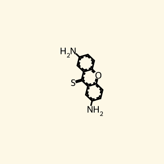 Nc1ccc2oc3ccc(N)cc3c(=S)c2c1